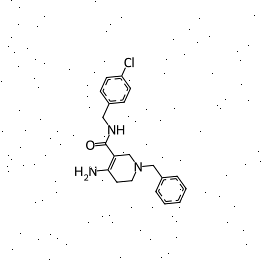 NC1=C(C(=O)NCc2ccc(Cl)cc2)CN(Cc2ccccc2)CC1